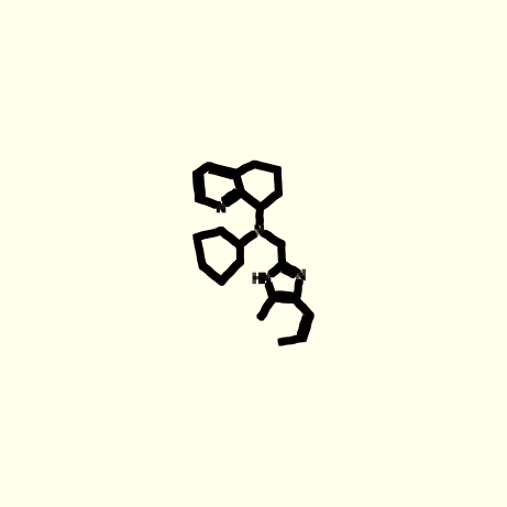 C/C=C\c1nc(CN(C2CCCCC2)C2CCCc3cccnc32)[nH]c1C